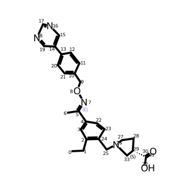 CCc1cc(/C(C)=N/OCc2ccc(-c3cncnc3)cc2)ccc1CN1CC[C@H](C(=O)O)C1